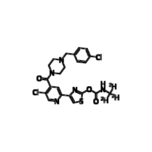 [2H]C([2H])([2H])NC(=O)Oc1nc(-c2cc(C(=O)N3CCN(Cc4ccc(Cl)cc4)CC3)c(Cl)cn2)cs1